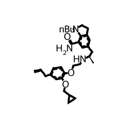 C=CCc1ccc(OCCN[C@H](C)Cc2cc3c(c(C(N)=O)c2)N(CCCC)CC3)c(OCC2CC2)c1